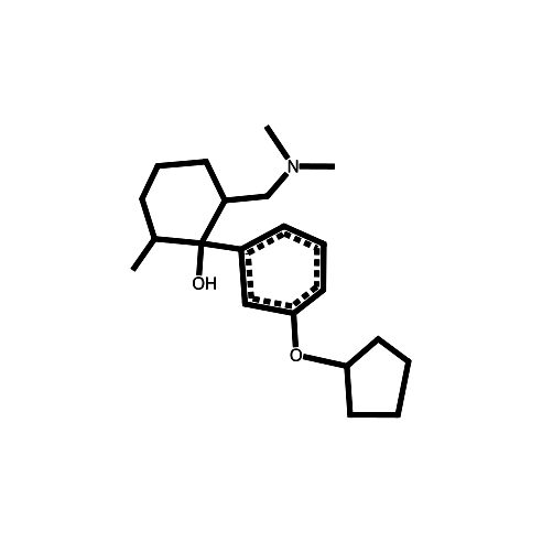 CC1CCCC(CN(C)C)C1(O)c1cccc(OC2CCCC2)c1